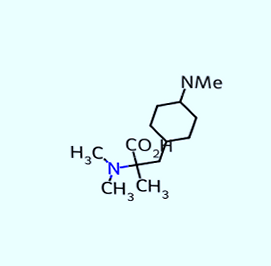 CNC1CCC(CC(C)(C(=O)O)N(C)C)CC1